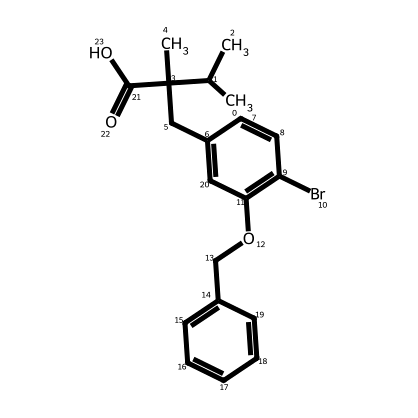 CC(C)C(C)(Cc1ccc(Br)c(OCc2ccccc2)c1)C(=O)O